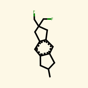 CC1Cc2cc3c(cc2C1)CC(CF)(CF)C3